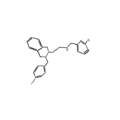 CC(=O)c1cccc(CNCCN2Cc3ccccc3CC2Cc2ccc(F)cc2)c1